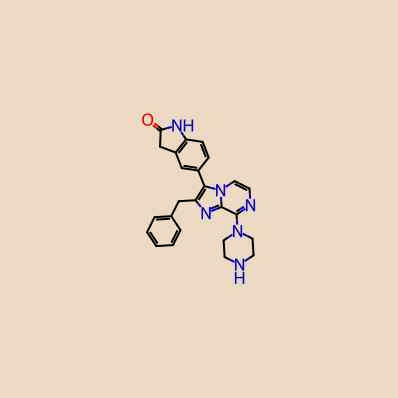 O=C1Cc2cc(-c3c(Cc4ccccc4)nc4c(N5CCNCC5)nccn34)ccc2N1